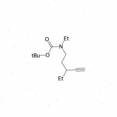 C#CC(CC)CCN(CC)C(=O)OC(C)(C)C